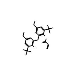 C=CC(=O)Oc1c(Cc2cc(CC)cc(C(C)(C)C)c2O)cc(CC)cc1C(C)(C)C